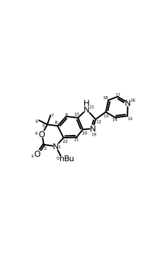 CCCCN1C(=O)OC(C)(C)c2cc3[nH]c(-c4ccncc4)nc3cc21